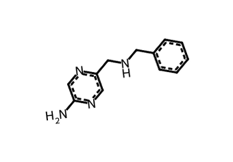 Nc1cnc(CNCc2ccccc2)cn1